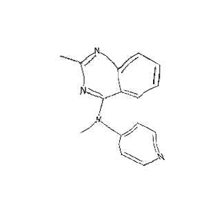 Cc1nc(N(C)c2ccncc2)c2ccccc2n1